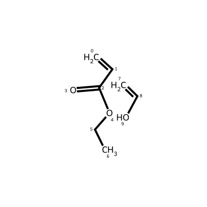 C=CC(=O)OCC.C=CO